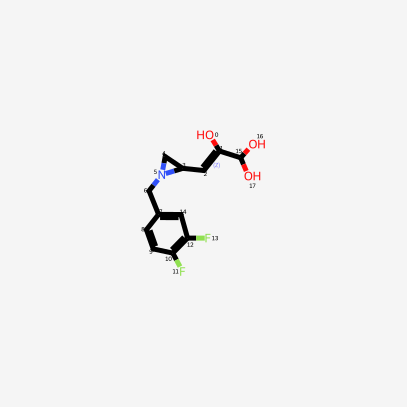 O/C(=C\C1CN1Cc1ccc(F)c(F)c1)C(O)O